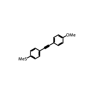 COc1ccc(C#Cc2ccc(SC)cc2)cc1